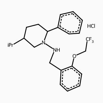 CC(C)C1CCC(c2ccccc2)N(NCc2ccccc2OCC(F)(F)F)C1.Cl